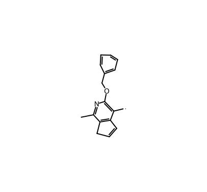 [CH2]c1c(OCc2ccccc2)nc(C)c2c1C=CC2